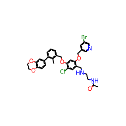 CC(=O)NCCNCc1cc(Cl)c(OCc2cccc(-c3ccc4c(c3)OCCO4)c2C)cc1OCc1cncc(Br)c1